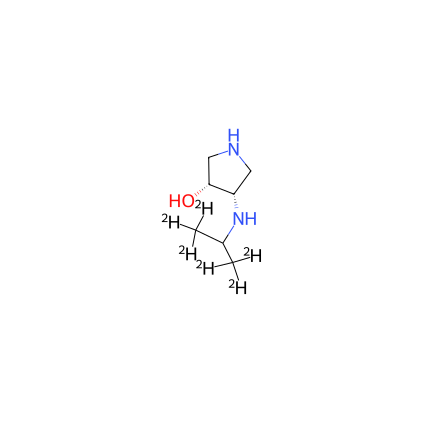 [2H]C([2H])([2H])C(N[C@H]1CNC[C@H]1O)C([2H])([2H])[2H]